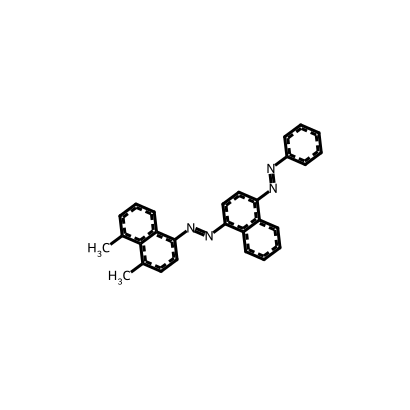 Cc1cccc2c(/N=N/c3ccc(/N=N/c4ccccc4)c4ccccc34)ccc(C)c12